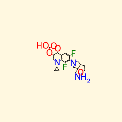 NCC12CN(c3c(F)cc4c(=O)c(OC(=O)O)cn(C5CC5)c4c3F)CC1CCO2